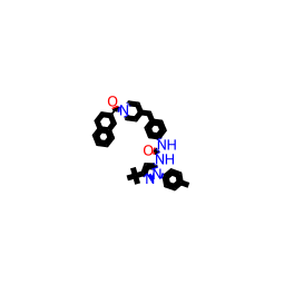 Cc1ccc(-n2nc(C(C)(C)C)cc2NC(=O)Nc2ccc(CC3CCN(C(=O)[C@@H]4CCc5ccccc5C4)CC3)cc2)cc1